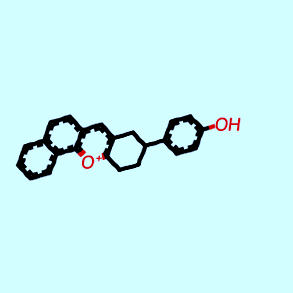 Oc1ccc(C2CCc3[o+]c4c(ccc5ccccc54)cc3C2)cc1